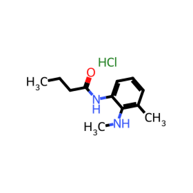 CCCC(=O)Nc1cccc(C)c1NC.Cl